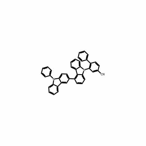 N#Cc1ccc(-c2ccccc2)c(-n2c3ccccc3c3c(-c4ccc5c(c4)c4ccccc4n5-c4ccccc4)cccc32)c1